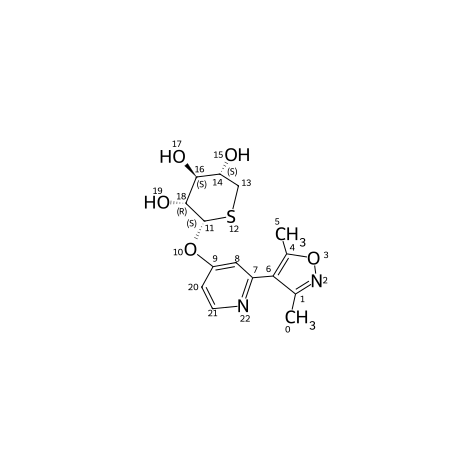 Cc1noc(C)c1-c1cc(O[C@H]2SC[C@@H](O)[C@H](O)[C@H]2O)ccn1